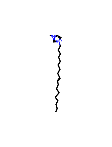 CCCCCCCCC=CCCCCCCCC[n+]1ccn(C)c1